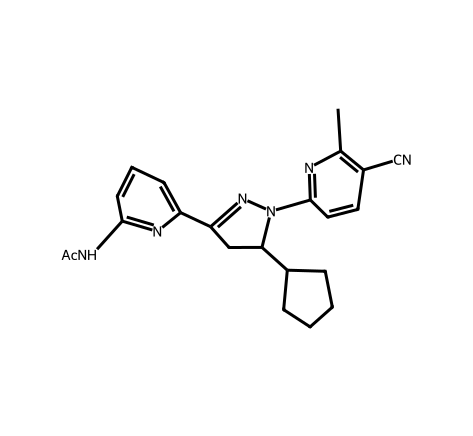 CC(=O)Nc1cccc(C2=NN(c3ccc(C#N)c(C)n3)C(C3CCCC3)C2)n1